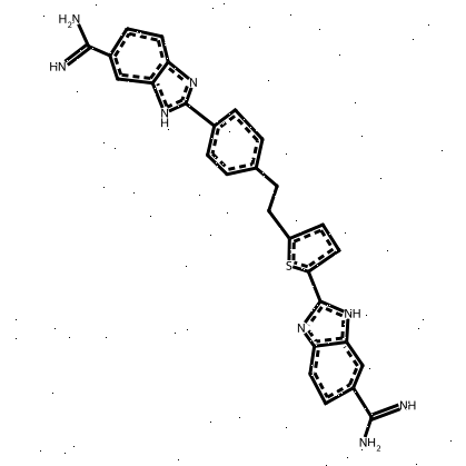 N=C(N)c1ccc2nc(-c3ccc(CCc4ccc(-c5nc6ccc(C(=N)N)cc6[nH]5)s4)cc3)[nH]c2c1